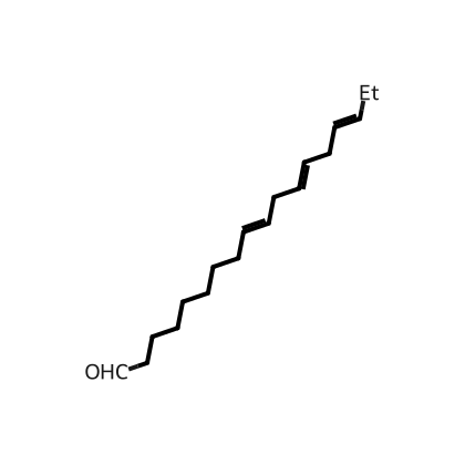 CCC=CCC=CCC=CCCCCCCCC=O